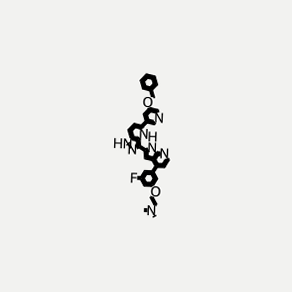 CN(C)CCOc1cc(F)cc(-c2ccnc3[nH]c(-c4n[nH]c5ccc(-c6cncc(OCc7ccccc7)c6)nc45)cc23)c1